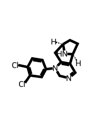 Clc1ccc(N2CN=CC3=C2C[C@H]2CC[C@@H]3N2)cc1Cl